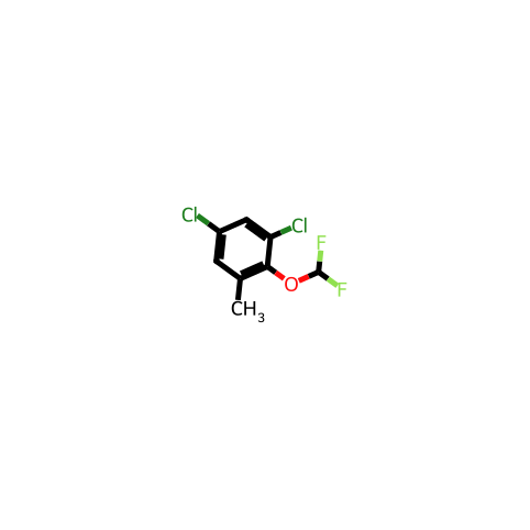 Cc1cc(Cl)cc(Cl)c1OC(F)F